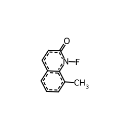 Cc1cccc2ccc(=O)n(F)c12